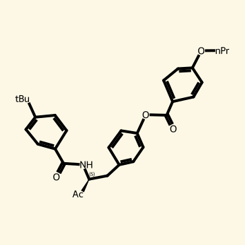 CCCOc1ccc(C(=O)Oc2ccc(C[C@H](NC(=O)c3ccc(C(C)(C)C)cc3)C(C)=O)cc2)cc1